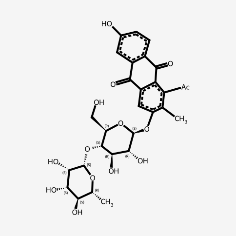 CC(=O)c1c(C)c(O[C@@H]2O[C@H](CO)[C@@H](O[C@@H]3O[C@H](C)[C@@H](O)[C@H](O)[C@@H]3O)[C@H](O)[C@H]2O)cc2c1C(=O)c1ccc(O)cc1C2=O